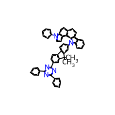 CC1(C)c2cc(-c3nc(-c4ccccc4)nc(-c4ccccc4)n3)ccc2-c2ccc(-n3c4ccccc4c4ccc5ccc6c(ccn6-c6ccccc6)c5c43)cc21